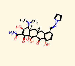 CN(C)[C@@H]1C(O)=C(C(N)=O)C(=O)[C@@]2(O)C(O)=C3C(=O)c4c(O)ccc(C=Nn5cccc5)c4C[C@H]3C[C@@H]12